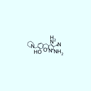 N#Cc1c(N)nc2c(c1N)Cc1ccc(CN3CCCCC3)c(O)c1O2